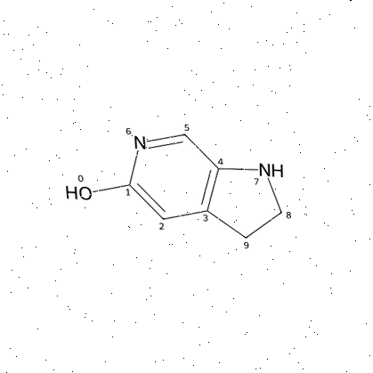 Oc1cc2c(cn1)NCC2